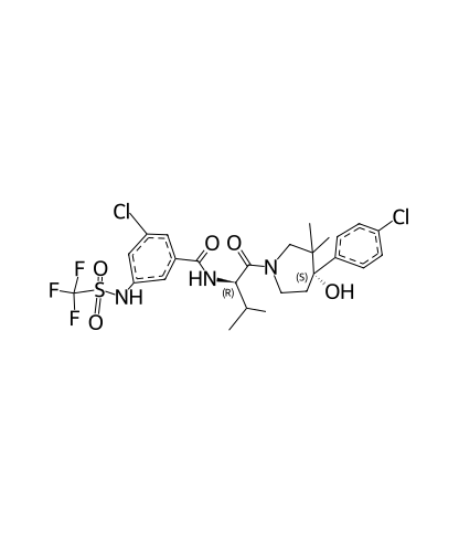 CC(C)[C@@H](NC(=O)c1cc(Cl)cc(NS(=O)(=O)C(F)(F)F)c1)C(=O)N1CC[C@](O)(c2ccc(Cl)cc2)C(C)(C)C1